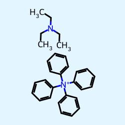 CCN(CC)CC.c1ccc([N+](c2ccccc2)(c2ccccc2)c2ccccc2)cc1